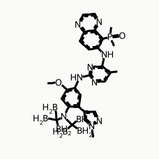 BC(B)(B)N(c1cc(OC)c(Nc2ncc(C)c(Nc3ccc4nccnc4c3P(C)(C)=O)n2)cc1-c1cnn(C)c1)C(B)(B)B